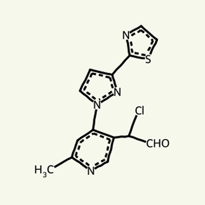 Cc1cc(-n2ccc(-c3nccs3)n2)c(C(Cl)C=O)cn1